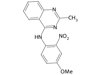 COc1ccc(Nc2nc(C)nc3ccccc23)c([N+](=O)[O-])c1